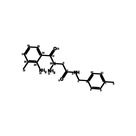 Cc1ccc(CNC(=O)CN(N)C(=O)c2cccc(C)c2N)cc1